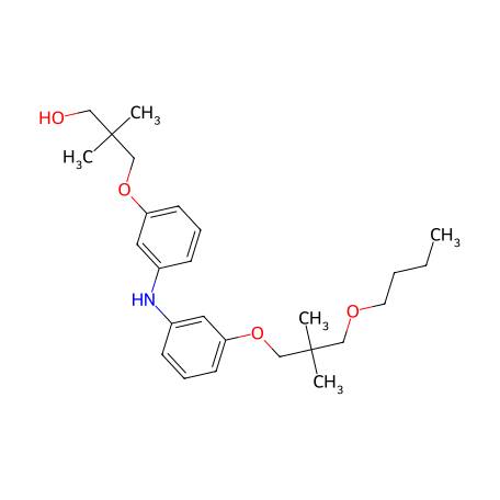 CCCCOCC(C)(C)COc1cccc(Nc2cccc(OCC(C)(C)CO)c2)c1